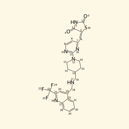 O=C1NC(=O)/C(=C\c2ccnc(N3CCC(CNCc4cc(C(F)(F)F)nc5ccccc45)CC3)n2)S1